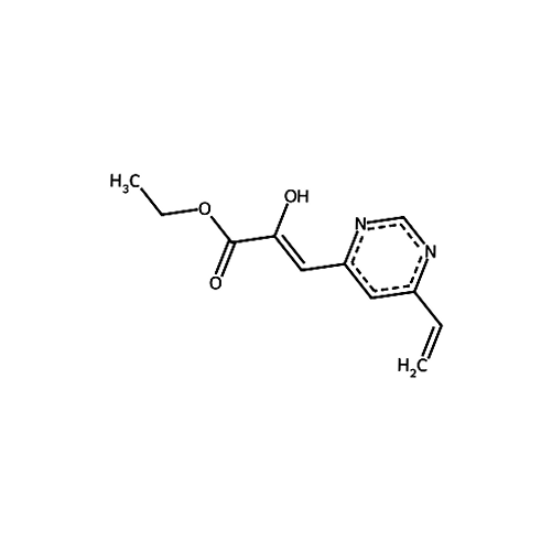 C=Cc1cc(/C=C(\O)C(=O)OCC)ncn1